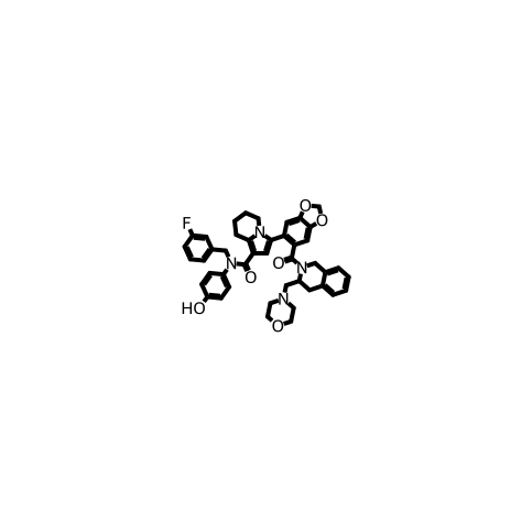 O=C(c1cc(-c2cc3c(cc2C(=O)N2Cc4ccccc4CC2CN2CCOCC2)OCO3)n2c1CCCC2)N(Cc1cccc(F)c1)c1ccc(O)cc1